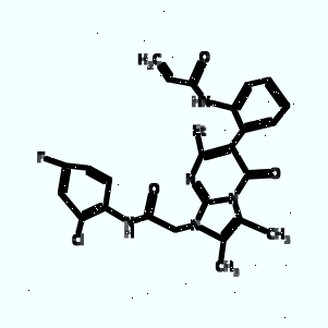 C=CC(=O)Nc1ccccc1-c1c(CC)nc2n(CC(=O)Nc3ccc(F)cc3Cl)c(C)c(C)n2c1=O